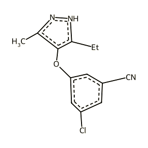 CCc1[nH]nc(C)c1Oc1cc(Cl)cc(C#N)c1